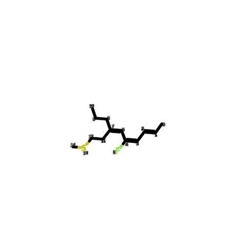 C/C=C/C=C(F)\C=C(\CCC)CCSC